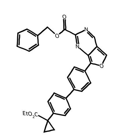 CCOC(=O)C1(c2ccc(-c3ccc(-c4occ5cnc(C(=O)OCc6ccccc6)nc45)cc3)cc2)CC1